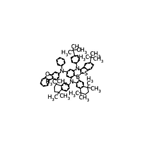 CC(C)(C)c1ccc(N2c3cc(N(c4ccccc4)c4ccc5c(c4)oc4ccccc45)cc4c3B(c3cc5c(cc3N4c3ccc4c(c3)C(C)(C)CCC4(C)C)C(C)(C)CCC5(C)C)c3sc4ccc(C(C)(C)C)cc4c32)cc1